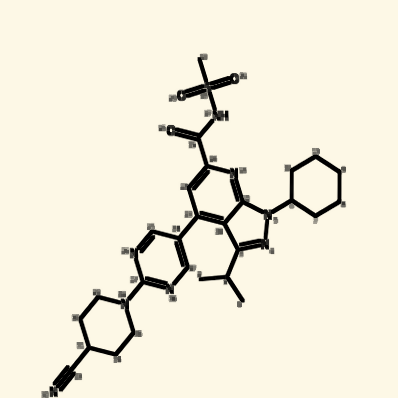 CC(C)c1nn(C2CCCCC2)c2nc(C(=O)NS(C)(=O)=O)cc(-c3cnc(N4CCC(C#N)CC4)nc3)c12